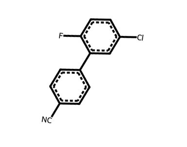 N#Cc1ccc(-c2cc(Cl)ccc2F)cc1